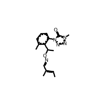 CC=C(C)C=NOC(C)c1c(C)cccc1-n1nnn(C)c1=O